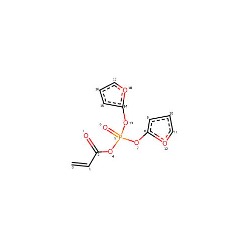 C=CC(=O)OP(=O)(Oc1ccco1)Oc1ccco1